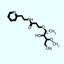 COC(CO)C(O)[C@@H](C)OCCC(=O)NCCc1ccccn1